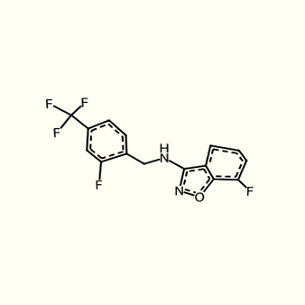 Fc1cc(C(F)(F)F)ccc1CNc1noc2c(F)cccc12